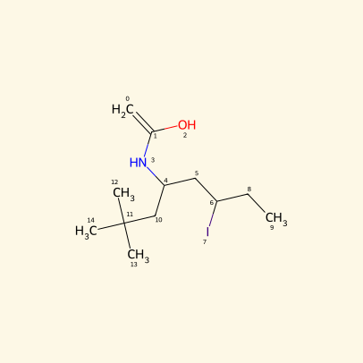 C=C(O)NC(CC(I)CC)CC(C)(C)C